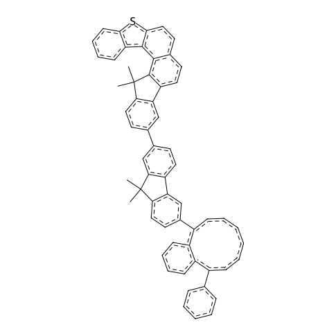 CC1(C)c2ccc(-c3ccccccc(-c4ccccc4)c4ccccc34)cc2-c2ccc(-c3ccc4c(c3)-c3ccc5ccc6sc7ccccc7c6c5c3C4(C)C)cc21